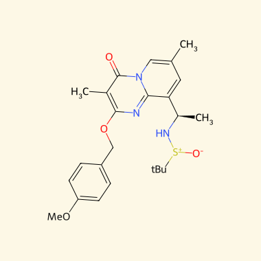 COc1ccc(COc2nc3c([C@@H](C)N[S+]([O-])C(C)(C)C)cc(C)cn3c(=O)c2C)cc1